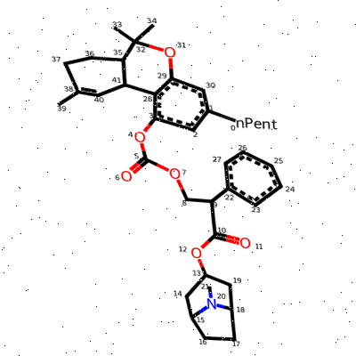 CCCCCc1cc(OC(=O)OCC(C(=O)OC2CC3CCC(C2)N3C)c2ccccc2)c2c(c1)OC(C)(C)C1CCC(C)=CC21